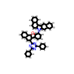 c1ccc(-c2nc(-c3ccccc3)nc(-c3cc4ccccc4c4oc5c(-n6c7cc8ccccc8cc7c7c8ccccc8ccc76)cccc5c34)n2)cc1